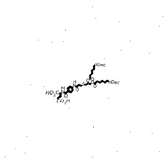 CCCCCCCCCCCCCCCC(=O)OCC(CSCCC(=O)Nc1ccc(C(=O)N[C@@H](CCC(=O)O)C(=O)O)cc1)OC(=O)CCCCCCCCCCCCCCC